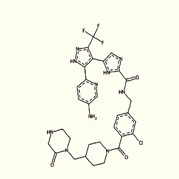 Nc1ccc(-c2[nH]nc(C(F)(F)F)c2-c2cnc(C(=O)NCc3ccc(C(=O)N4CCC(CN5CCNCC5=O)CC4)c(Cl)c3)[nH]2)nc1